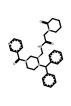 O=C(CN1CCCCC1=O)NC[C@@H]1CN(C(=O)c2cccnc2)CCN1C(c1ccccc1)c1ccccc1